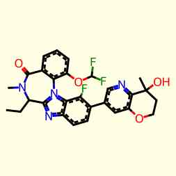 CCC1c2nc3ccc(-c4cnc5c(c4)OCCC5(C)O)c(F)c3n2-c2c(OC(F)F)cccc2C(=O)N1C